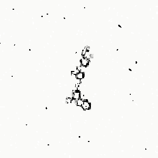 O=c1nc(OCc2ccc(Oc3ccnc(C(F)(F)F)c3)c(F)c2)cc2n1CC1CCCCN21